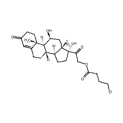 C[C@]12CCC(=O)C=C1CC[C@@H]1[C@@H]2[C@@H](O)C[C@@]2(C)[C@H]1CC[C@]2(O)C(=O)COC(=O)CCCCl